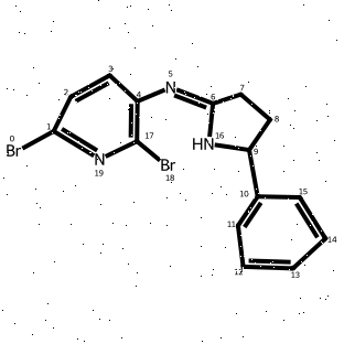 Brc1ccc(N=C2CCC(c3ccccc3)N2)c(Br)n1